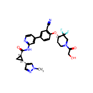 Cn1cc([C@@H]2C[C@H]2C(=O)Nc2cc(-c3ccc(O[C@H]4CCN(C(=O)CO)CC4(F)F)c(C#N)c3)ccn2)cn1